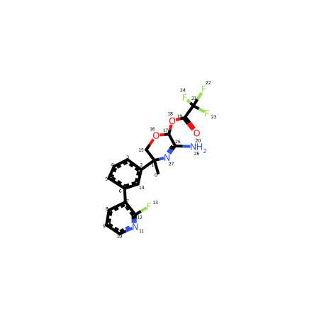 CC1(c2cccc(-c3cccnc3F)c2)COC(OC(=O)C(F)(F)F)C(N)=N1